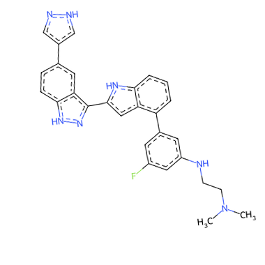 CN(C)CCNc1cc(F)cc(-c2cccc3[nH]c(-c4n[nH]c5ccc(-c6cn[nH]c6)cc45)cc23)c1